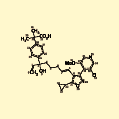 C=CC(O)(CCC/C=C/c1c(-c2c(Cl)cncc2OC)noc1C1CC1)c1ccc(C(C)(C)C(=O)O)cc1